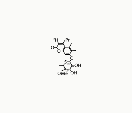 [2H]c1c(C(C)C)c2c(C)c(C)c(O[C@@H]3SC(C)[C@@](C)(OC)[C@H](O)[C@H]3O)cc2oc1=O